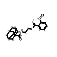 CCOc1ccccc1C(=O)OCCOC(=O)C12CC3CC(CC(C3)C1)C2